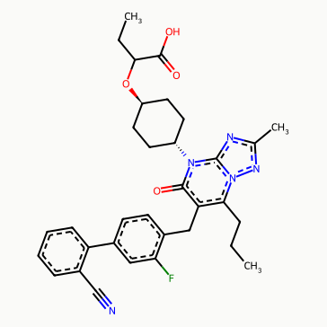 CCCc1c(Cc2ccc(-c3ccccc3C#N)cc2F)c(=O)n([C@H]2CC[C@H](OC(CC)C(=O)O)CC2)c2nc(C)nn12